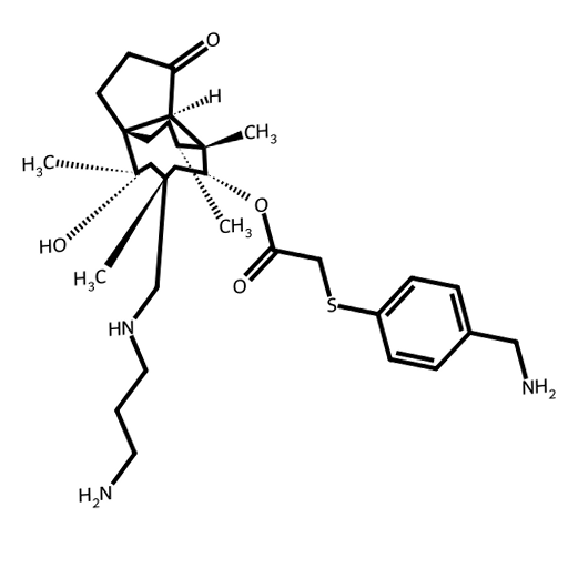 C[C@@H]1CC[C@@]23CCC(=O)[C@H]2[C@]1(C)[C@H](OC(=O)CSc1ccc(CN)cc1)C[C@](C)(CNCCCN)[C@@H](O)[C@@H]3C